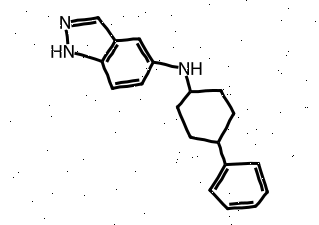 c1ccc(C2CCC(Nc3ccc4[nH]ncc4c3)CC2)cc1